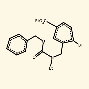 CCOC(=O)c1ccc(Br)c(CN(CC)C(=O)OCc2ccccc2)c1